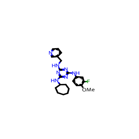 COc1ccc(Nc2nc(NCc3cccnc3)nc(NC3CCCCCC3)n2)cc1F